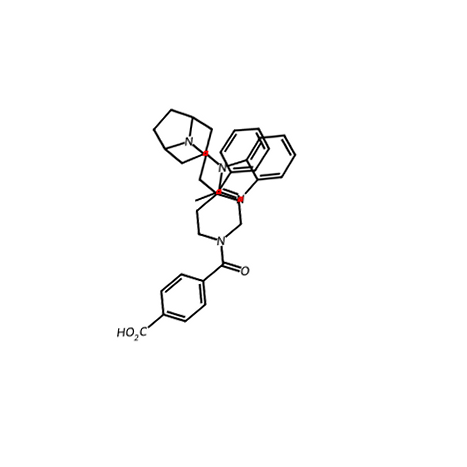 Cc1nc2ccccc2n1C1CC2CCC(C1)N2CCC1(c2ccccc2)CCN(C(=O)c2ccc(C(=O)O)cc2)CC1